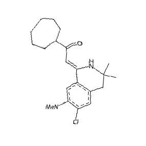 CNc1cc2c(cc1Cl)CC(C)(C)N/C2=C\C(=O)C1CCCCCC1